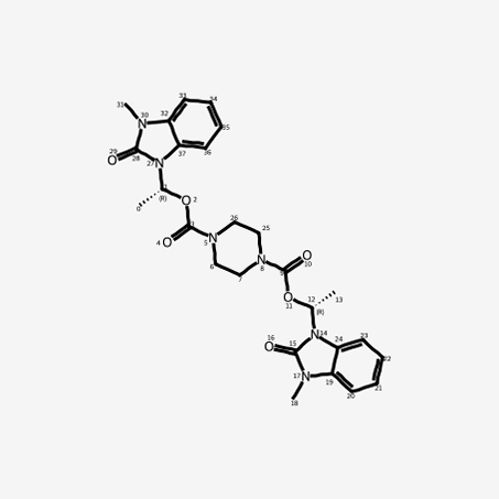 C[C@@H](OC(=O)N1CCN(C(=O)O[C@H](C)n2c(=O)n(C)c3ccccc32)CC1)n1c(=O)n(C)c2ccccc21